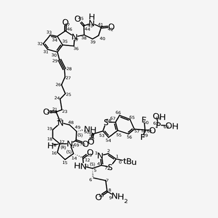 CC(C)(C)c1cnc([C@H](CCC(N)=O)NC(=O)[C@@H]2CC[C@@H]3CCN(C(=O)CCCCCC#Cc4cccc5c4CN(C4CCC(=O)NC4=O)C5=O)C[C@H](NC(=O)c4cc5cc(C(F)(F)OP(O)O)ccc5s4)C(=O)N32)s1